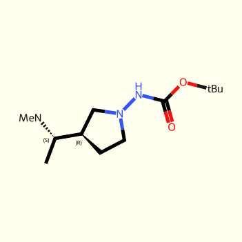 CN[C@@H](C)[C@@H]1CCN(NC(=O)OC(C)(C)C)C1